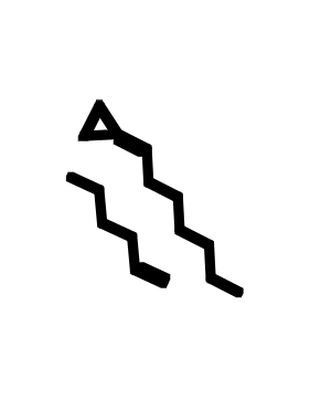 C=CCCCC.CCCCCCC=C1CC1